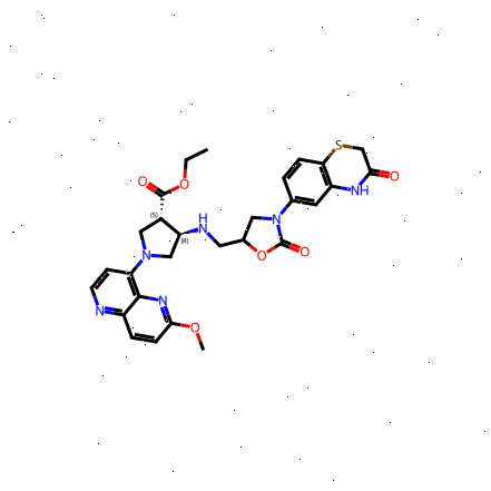 CCOC(=O)[C@H]1CN(c2ccnc3ccc(OC)nc23)C[C@@H]1NCC1CN(c2ccc3c(c2)NC(=O)CS3)C(=O)O1